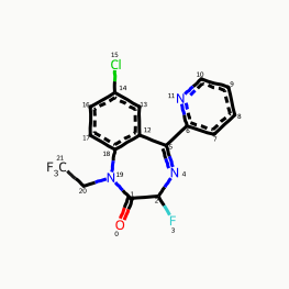 O=C1C(F)N=C(c2ccccn2)c2cc(Cl)ccc2N1CC(F)(F)F